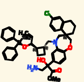 C=CC(O[Si](c1ccccc1)(c1ccccc1)C(C)(C)C)[C@@H]1CC[C@H]1CN1C[C@@]2(CCCc3cc(Cl)ccc32)COc2ccc(C(O)(CN)C(=O)OC)cc21